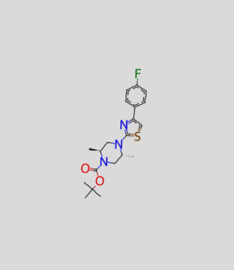 C[C@@H]1CN(C(=O)OC(C)(C)C)[C@@H](C)CN1c1nc(-c2ccc(F)cc2)cs1